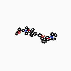 CC1(C)c2ccccc2-c2ccc(-c3ccccc3N(c3ccc(-c4cccc5c4oc4ccc(-c6ccc7c(c6)-c6ccccc6C76c7ccccc7-c7c(-c8ccccc8N(c8ccc(-c9cccc%10c9oc9ccccc9%10)cc8)c8cccc9ccccc89)cccc76)cc45)cc3)c3cccc4ccccc34)cc21